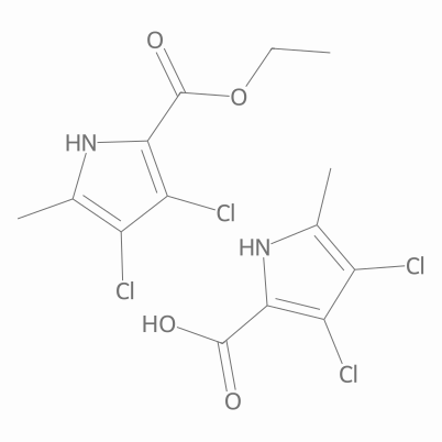 CCOC(=O)c1[nH]c(C)c(Cl)c1Cl.Cc1[nH]c(C(=O)O)c(Cl)c1Cl